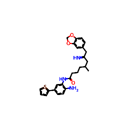 CC(CCCC(=O)Nc1cc(-c2cccs2)ccc1N)CC(=N)Cc1ccc2c(c1)OCO2